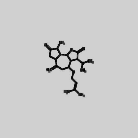 C=C1CC(OCC=C(C)C)C2C(OC(=O)C2N(C)C)C2C(C)C(=O)CC12